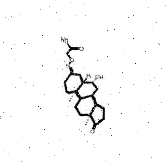 C[C@]12CCC3C(C[C@@H](O)[C@H]4CC(=NOCC(=O)O)CC[C@]34C)C1CCC2=O